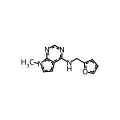 Cn1ccc2c(NCc3ccco3)ncnc21